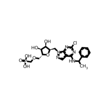 CC(Nc1nc(Cl)nc2c1cnn2C[C@H]1O[C@H](COCP(=O)(O)O)[C@@H](O)[C@H]1O)c1ccccc1